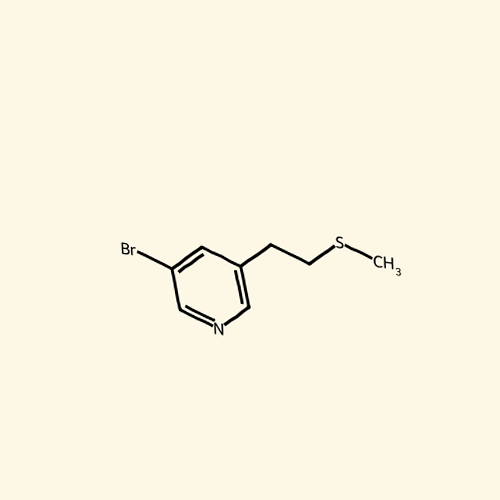 CSCCc1cncc(Br)c1